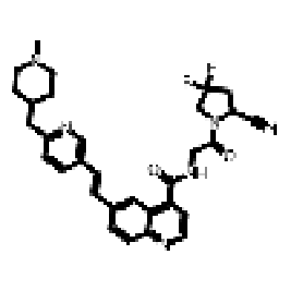 CN1CCC(Cc2ccc(C=Cc3ccc4nccc(C(=O)NCC(=O)N5CC(F)(F)CC5C#N)c4c3)cn2)CC1